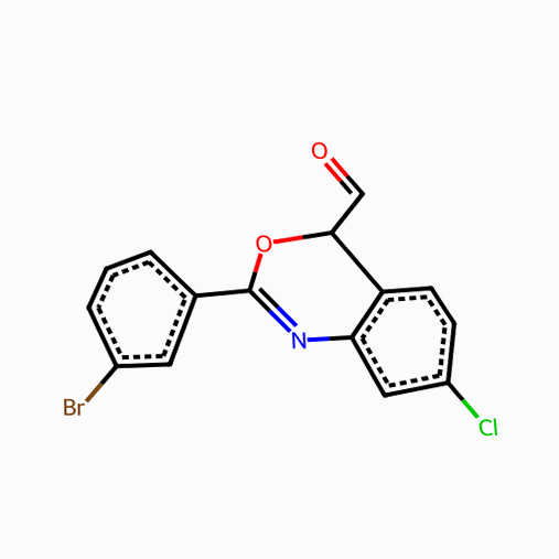 O=CC1OC(c2cccc(Br)c2)=Nc2cc(Cl)ccc21